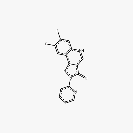 O=c1c2c[nH]c3cc(F)c(F)cc3c-2nn1-c1ccccn1